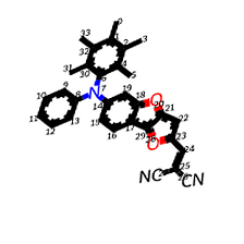 Cc1c(C)c(C)c(N(c2ccccc2)c2ccc3c(c2)oc2cc(C=C(C#N)C#N)oc23)c(C)c1C